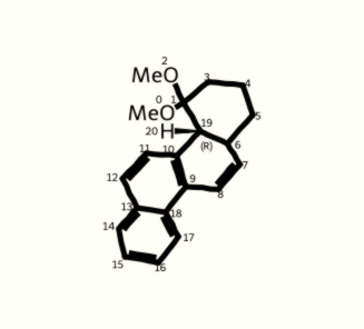 COC1(OC)CCCC2C=Cc3c(ccc4ccccc34)[C@@H]21